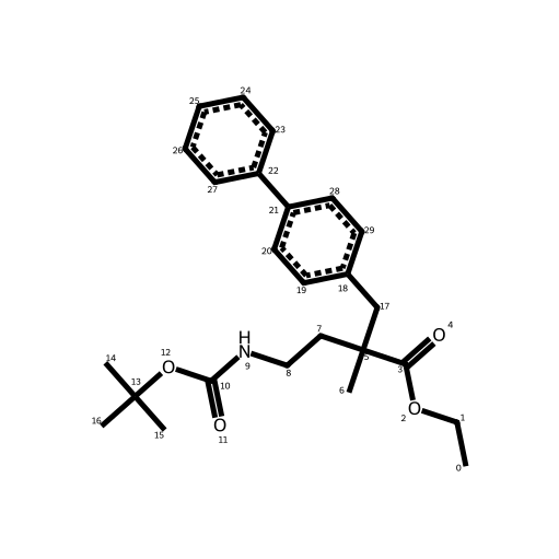 CCOC(=O)C(C)(CCNC(=O)OC(C)(C)C)Cc1ccc(-c2ccccc2)cc1